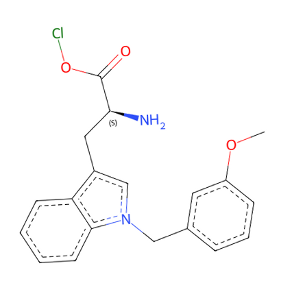 COc1cccc(Cn2cc(C[C@H](N)C(=O)OCl)c3ccccc32)c1